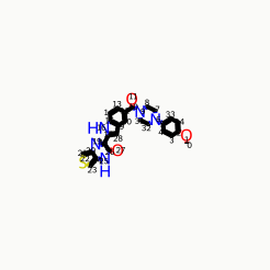 COc1ccc(N2CCN(C(=O)c3ccc4[nH]c(-c5nc6cscc6[nH]c5=O)cc4c3)CC2)cc1